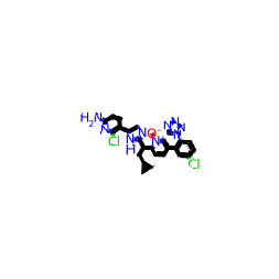 Nc1ccc(-c2cnc(C(CC3CC3)c3ccc(-c4cc(Cl)ccc4-n4cnnn4)c[n+]3[O-])[nH]2)c(Cl)n1